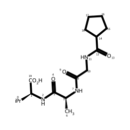 CC(C)[C@H](NC(=O)[C@H](C)NC(=O)CNC(=O)C1CCCC1)C(=O)O